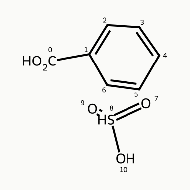 O=C(O)c1ccccc1.O=[SH](=O)O